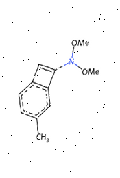 CON(OC)C1=Cc2ccc(C)cc21